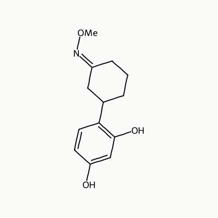 CON=C1CCCC(c2ccc(O)cc2O)C1